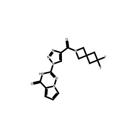 O=C(c1cn(-c2nn3cccc3c(=O)[nH]2)nn1)N1CC2(C1)CC(F)(F)C2